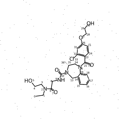 CCN(CCO)C(=O)CNC(=O)N1Cc2ccccc2N(C(=O)c2ccc(OCCO)cc2Cl)C[C@H]1C